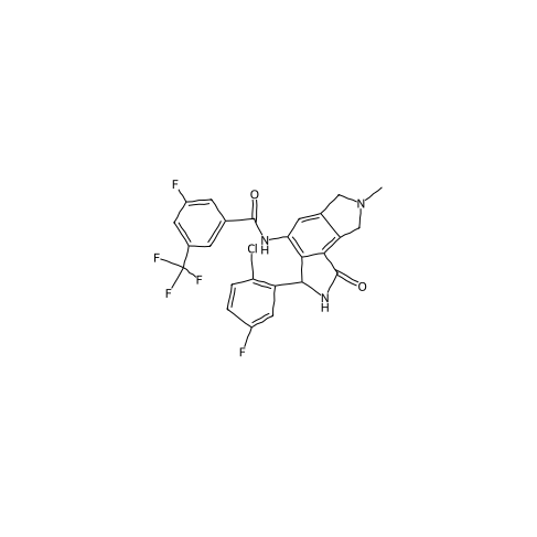 CN1Cc2cc(NC(=O)c3cc(F)cc(C(F)(F)F)c3)c3c(c2C1)C(=O)NC3c1cc(F)ccc1Cl